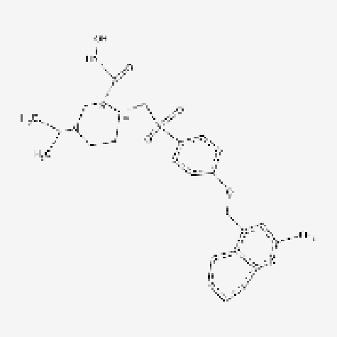 Cc1cc(COc2ccc(S(=O)(=O)C[C@@H]3CCN(C(C)C)C[C@@H]3C(=O)NO)cc2)c2ccccc2n1